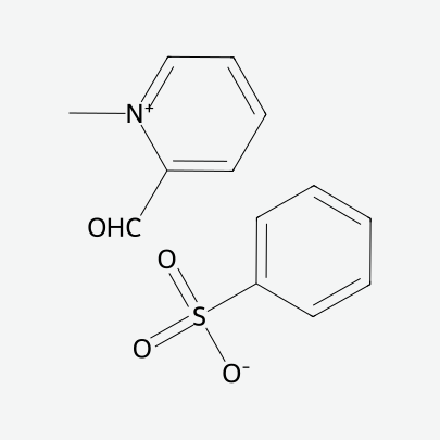 C[n+]1ccccc1C=O.O=S(=O)([O-])c1ccccc1